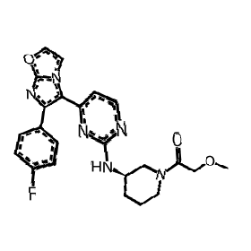 COCC(=O)N1CCC[C@@H](Nc2nccc(-c3c(-c4ccc(F)cc4)nc4occn34)n2)C1